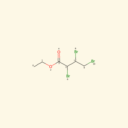 CCOC(=O)C(Br)C(Br)CBr